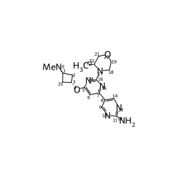 CN[C@H]1C[C@H](Oc2cc(-c3cnc(N)nc3)nc(N3CCOC[C@@H]3C)n2)C1